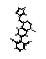 C[C@H]1CCC(Cc2ncon2)c2nnc(-c3c(F)cccc3F)cc21